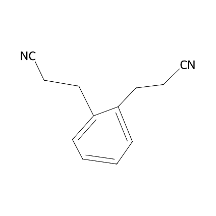 N#CCCc1ccccc1CCC#N